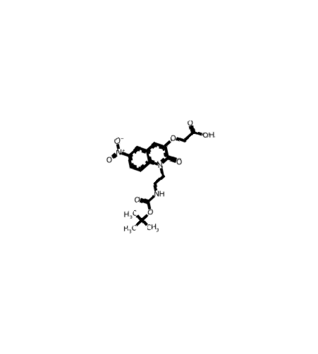 CC(C)(C)OC(=O)NCCn1c(=O)c(OCC(=O)O)cc2cc([N+](=O)[O-])ccc21